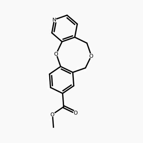 COC(=O)c1ccc2c(c1)COCc1ccncc1O2